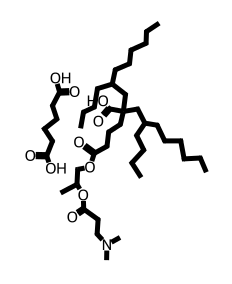 CCCCCCC(CCCC)CC(CCCC(=O)OCC(C)OC(=O)CCN(C)C)(CC(CCCC)CCCCCC)C(=O)O.O=C(O)CCCCC(=O)O